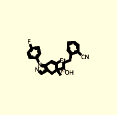 CCC1=Cc2c(cnn2-c2ccc(F)cc2)CC1(C)[C@@H](O)CCc1ccccc1C#N